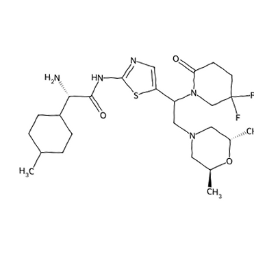 CC1CCC([C@H](N)C(=O)Nc2ncc(C(CN3C[C@H](C)O[C@@H](C)C3)N3CC(F)(F)CCC3=O)s2)CC1